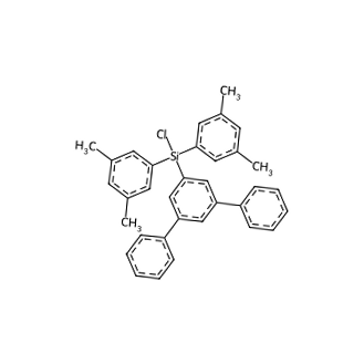 Cc1cc(C)cc([Si](Cl)(c2cc(C)cc(C)c2)c2cc(-c3ccccc3)cc(-c3ccccc3)c2)c1